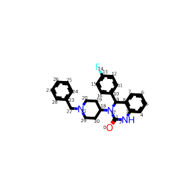 O=C1Nc2ccccc2C(c2ccc(F)cc2)N1C1CCN(Cc2ccccc2)CC1